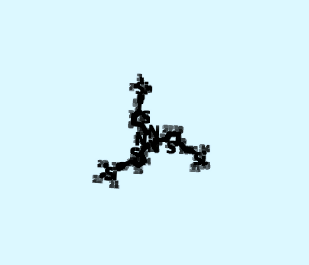 C[Si](C)(C)C#Cc1ccc(-c2nc(-c3ccc(C#C[Si](C)(C)C)s3)nc(-c3ccc(C#C[Si](C)(C)C)s3)n2)s1